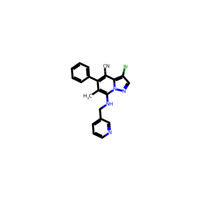 Cc1c(-c2ccccc2)c(C#N)c2c(Br)cnn2c1NCc1cccnc1